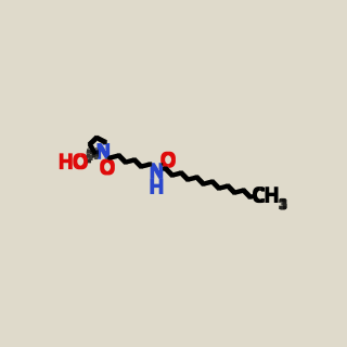 CCCCCCCCCCCCC(=O)NCCCCCC(=O)N1CCC[C@H]1CO